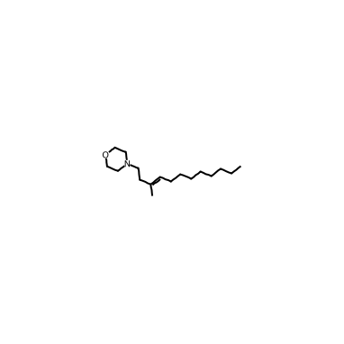 CCCCCCCCC=C(C)CCN1CCOCC1